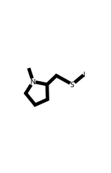 CN1CCCC1CSI